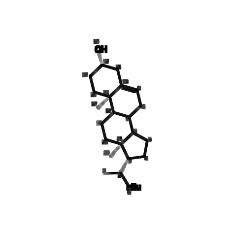 CCCCC(C)[C@H]1CCC2C3CC=C4C[C@@H](O)CC[C@]4(C)C3CC[C@@]21C